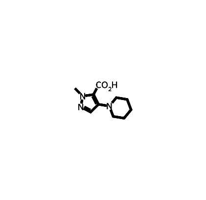 Cn1ncc(N2CCCCC2)c1C(=O)O